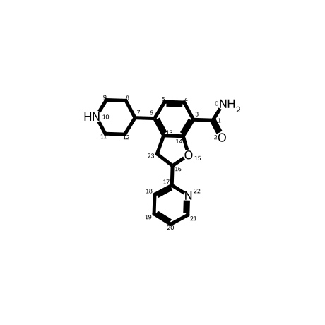 NC(=O)c1ccc(C2CCNCC2)c2c1OC(c1ccccn1)C2